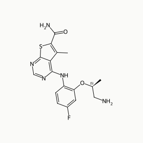 Cc1c(C(N)=O)sc2ncnc(Nc3ccc(F)cc3O[C@@H](C)CN)c12